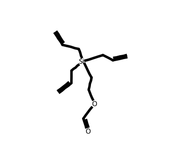 C=CC[Si](CC=C)(CC=C)CCOC=O